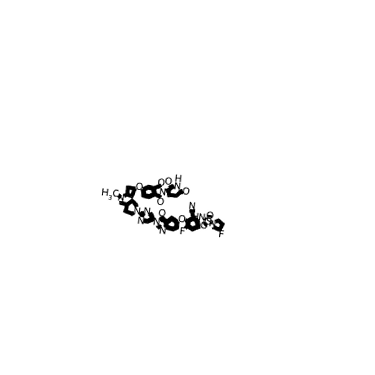 CN(CC1CCN(c2ncc(-n3cnc4ccc(Oc5c(F)ccc(NS(=O)(=O)N6CC[C@@H](F)C6)c5C#N)cc4c3=O)cn2)CC1)C1CC(Oc2ccc3c(c2)C(=O)N(C2CCC(=O)NC2=O)C3=O)C1